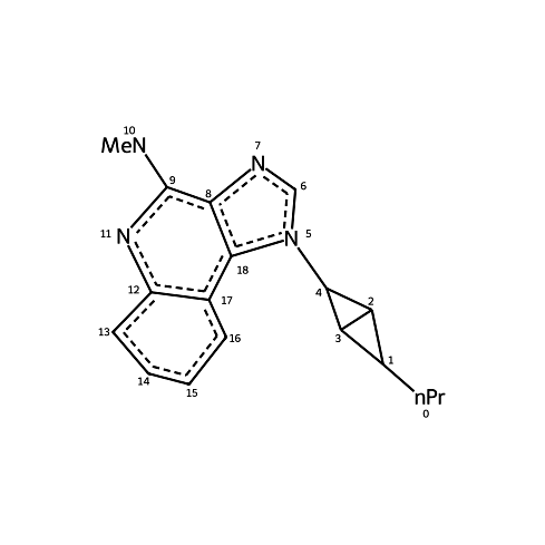 CCCC1C2C1C2n1cnc2c(NC)nc3ccccc3c21